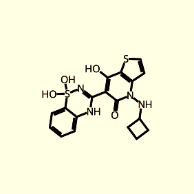 O=c1c(C2=NS(O)(O)c3ccccc3N2)c(O)c2sccc2n1NC1CCC1